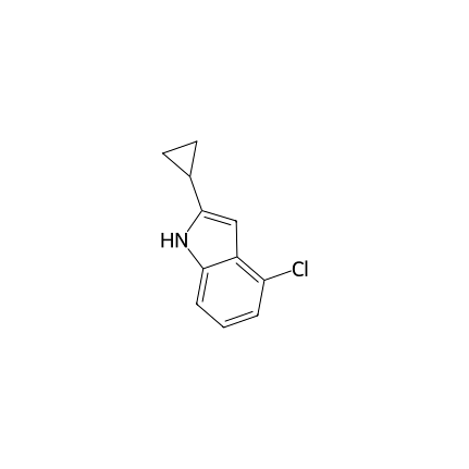 Clc1cccc2[nH]c(C3CC3)cc12